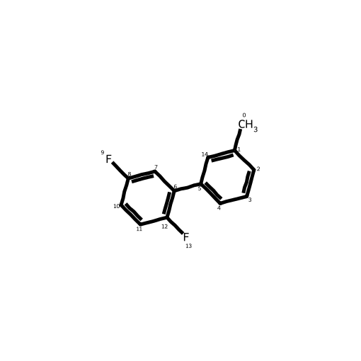 Cc1cccc(-c2cc(F)ccc2F)c1